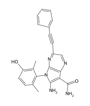 Cc1ccc(O)c(C)c1-n1c(N)c(C(N)=O)c2ncc(C#Cc3ccccc3)nc21